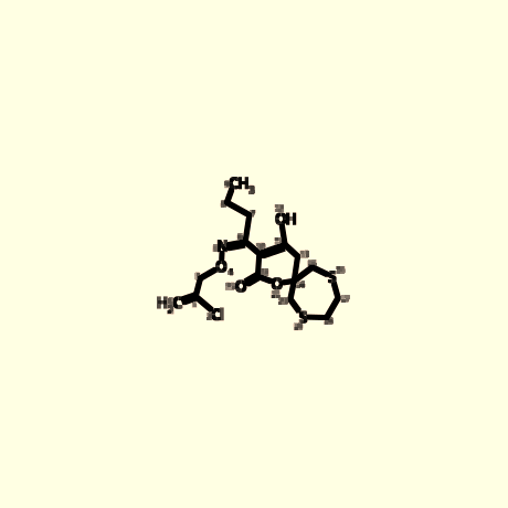 C=C(Cl)CO/N=C(/CCC)C1=C(O)CC2(CSCCSC2)OC1=O